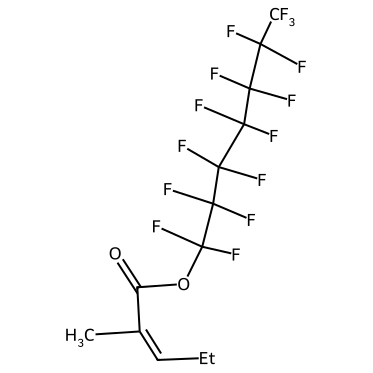 CCC=C(C)C(=O)OC(F)(F)C(F)(F)C(F)(F)C(F)(F)C(F)(F)C(F)(F)C(F)(F)F